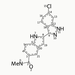 CNC(=O)c1ccc2[nH]c(-c3n[nH]c4cc(Cl)ccc34)cc2c1